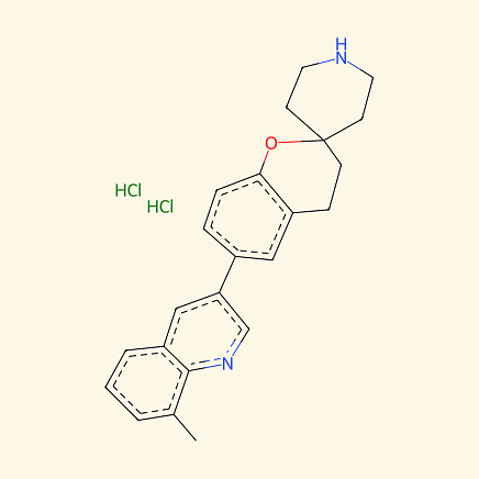 Cc1cccc2cc(-c3ccc4c(c3)CCC3(CCNCC3)O4)cnc12.Cl.Cl